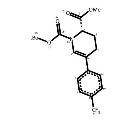 COC(=O)[C@@H]1CCC(c2ccc(C(F)(F)F)cc2)=CN1C(=O)OC(C)(C)C